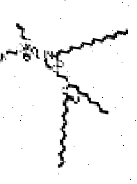 C=CCOP(=O)(OCCN)OC[C@@H](COCC[C@@H](CCCCCCC)OC(=O)CCCCCCCCCCC)NC(=O)CCCCCCCCCCCCC